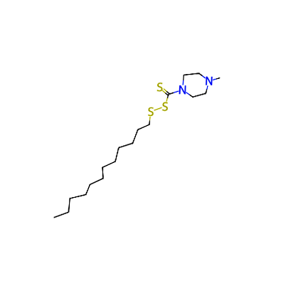 CCCCCCCCCCCCSSC(=S)N1CCN(C)CC1